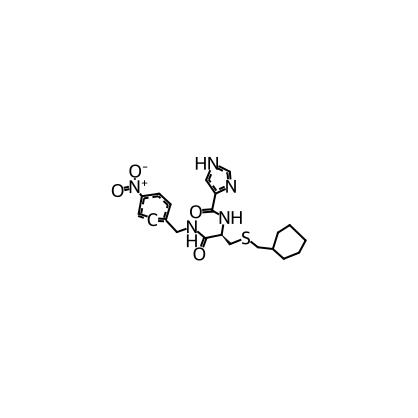 O=C(N[C@@H](CSCC1CCCCC1)C(=O)NCc1ccc([N+](=O)[O-])cc1)c1c[nH]cn1